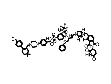 CC1(C)CCC(c2ccc(Cl)cc2)=C(CN2CCN(c3ccc(C(=O)NS(=O)(=O)c4ccc(NC(CCN5C[C@H]6C[C@@H]5CN6Cc5ccc6c(c5F)C(=O)N(C5CCC(=O)NC5=O)C6=O)CSc5ccccc5)c(S(=O)(=O)C(F)(F)F)c4)cc3)CC2)C1